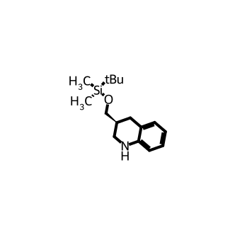 CC(C)(C)[Si](C)(C)OC[C@@H]1CNc2ccccc2C1